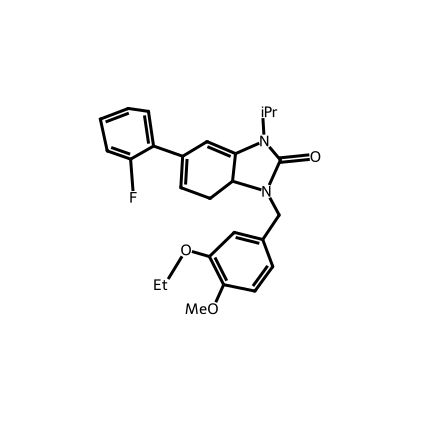 CCOc1cc(CN2C(=O)N(C(C)C)C3=CC(c4ccccc4F)=CCC32)ccc1OC